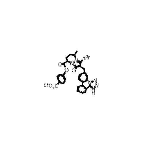 CCCc1c(Cc2ccc(-c3ccccc3-c3nnn[nH]3)cc2)c(=O)n2n1C(C)CCC2C(=O)Oc1ccc(C(=O)OCC)cc1